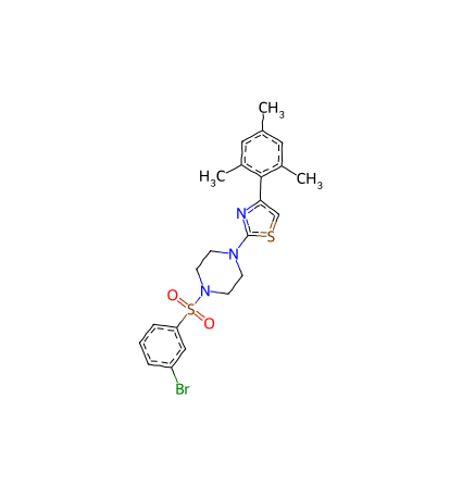 Cc1cc(C)c(-c2csc(N3CCN(S(=O)(=O)c4cccc(Br)c4)CC3)n2)c(C)c1